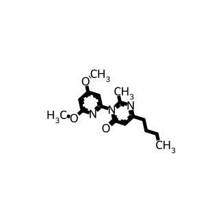 CCCCc1cc(=O)n(-c2cc(OC)cc(OC)n2)c(C)n1